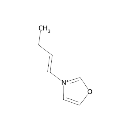 CCC=C[n+]1ccoc1